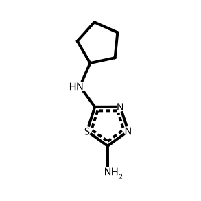 Nc1nnc(NC2CCCC2)s1